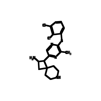 Cc1nc(C2C(N)CC23CCNCC3)cnc1Sc1cccc(Cl)c1Cl